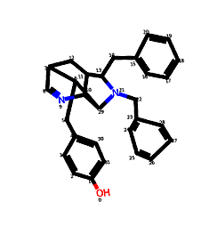 Oc1ccc(CC2C3C=NC4C(C3)C(Cc3ccccc3)N(Cc3ccccc3)C24)cc1